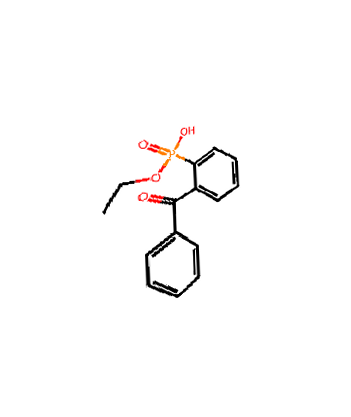 CCOP(=O)(O)c1ccccc1C(=O)c1ccccc1